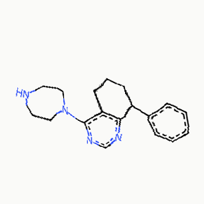 c1ccc(C2CCCc3c2ncnc3N2CCNCC2)cc1